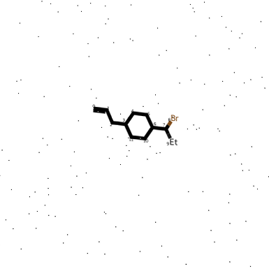 C=CCC1CCC(C(Br)CC)CC1